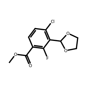 COC(=O)c1ccc(Cl)c(C2OCCO2)c1F